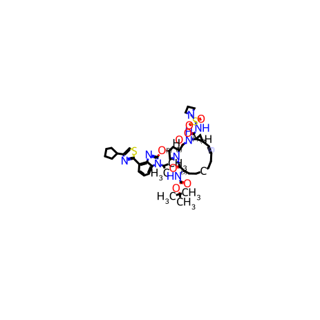 CC(C)n1c(O[C@@H]2C[C@H]3C(=O)N[C@]4(C(=O)NS(=O)(=O)N5CCC5)C[C@H]4/C=C\CCCCC[C@H](NC(=O)OC(C)(C)C)C(=O)N3C2)nc2c(-c3nc(C4CCCC4)cs3)cccc21